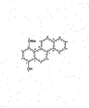 COc1ccc(O)c2ccc3c4ccccc4ccc3c12